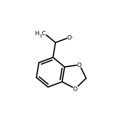 CC([O])c1cccc2c1OCO2